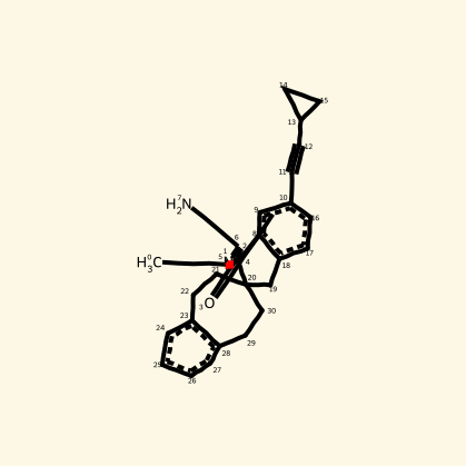 CN1C(=O)C2(N=C1N)c1cc(C#CC3CC3)ccc1CC21CCc2ccccc2CC1